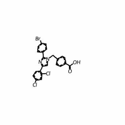 O=C(O)c1ccc(Cn2cc(-c3ccc(Cl)cc3Cl)nc2-c2ccc(Br)cc2)cc1